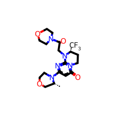 C[C@@H]1COCCN1c1cc(=O)n2c(n1)N(CC(=O)N1CCOCC1)[C@H](C(F)(F)F)CC2